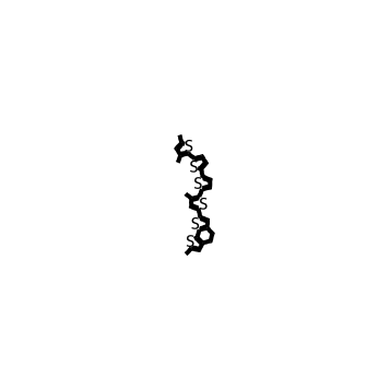 Cc1cc(C)c(-c2ccc(-c3ccc(-c4sc(-c5cc6c(s5)-c5sc(C)cc5CC6)cc4C)s3)s2)s1